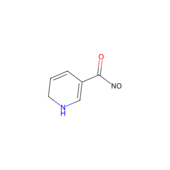 O=NC(=O)C1=CNCC=C1